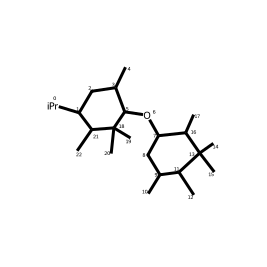 CC(C)C1CC(C)C(OC2CC(C)C(C)C(C)(C)C2C)C(C)(C)C1C